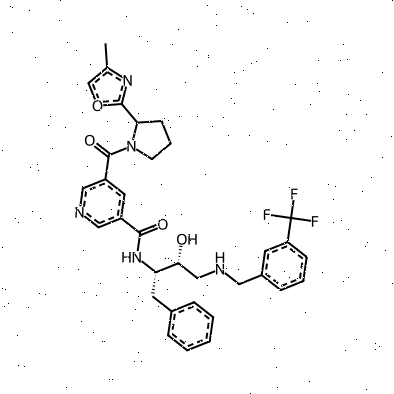 Cc1coc(C2CCCN2C(=O)c2cncc(C(=O)N[C@@H](Cc3ccccc3)[C@H](O)CNCc3cccc(C(F)(F)F)c3)c2)n1